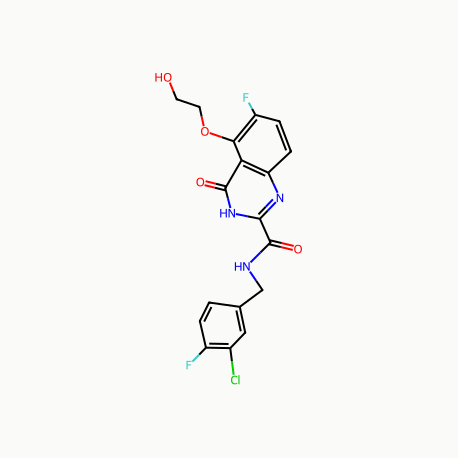 O=C(NCc1ccc(F)c(Cl)c1)c1nc2ccc(F)c(OCCO)c2c(=O)[nH]1